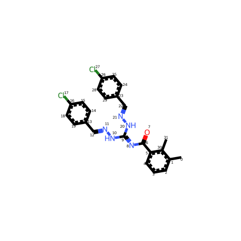 Cc1cccc(C(=O)N=C(NN=Cc2ccc(Cl)cc2)NN=Cc2ccc(Cl)cc2)c1C